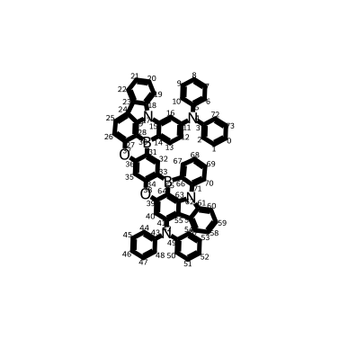 c1ccc(N(c2ccccc2)c2ccc3c(c2)-n2c4ccccc4c4ccc5c(c42)B3c2cc3c(cc2O5)Oc2cc(N(c4ccccc4)c4ccccc4)c4c5ccccc5n5c4c2B3c2ccccc2-5)cc1